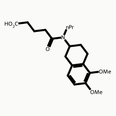 CCCN(C(=O)CCCC(=O)O)C1CCc2c(ccc(OC)c2OC)C1